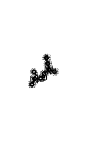 c1ccc(Sc2cnc(-c3ccccc3)nc2-c2ccc3oc4cc(-c5nc(-c6ccccc6)nc(-c6ccc(-c7ccccc7)cc6)n5)ccc4c3c2)cc1